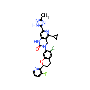 Cc1n[nH]c(-c2cc3c(c(C4CC4)n2)CN(c2cc4c(cc2Cl)CCC(c2ncccc2F)O4)C(=O)N3)n1